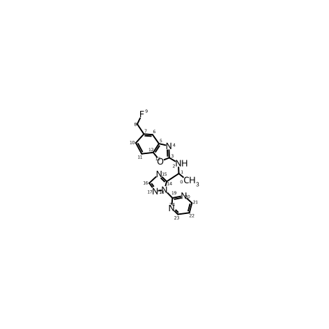 CC(Nc1nc2cc(CF)ccc2o1)c1ncnn1-c1ncccn1